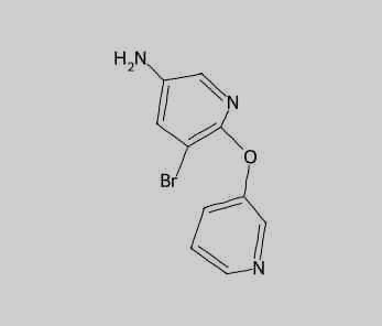 Nc1cnc(Oc2cccnc2)c(Br)c1